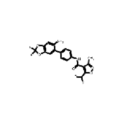 Cc1cc2c(cc1-c1ccc(NC(=O)c3c(C)noc3C(F)F)cc1)OC(F)(F)O2